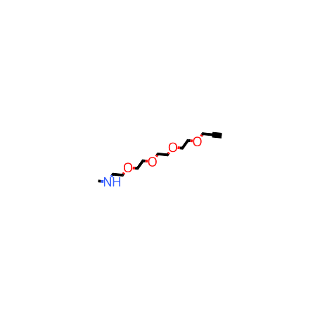 C#CCOCCOCCOCCOCCNC